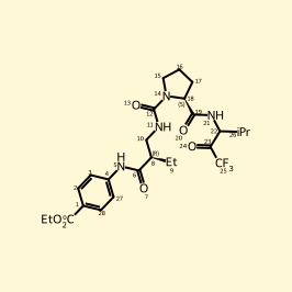 CCOC(=O)c1ccc(NC(=O)[C@H](CC)CNC(=O)N2CCC[C@H]2C(=O)NC(C(=O)C(F)(F)F)C(C)C)cc1